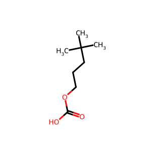 CC(C)(C)CCCOC(=O)O